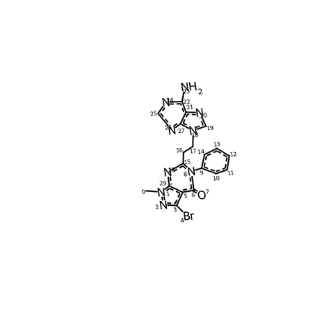 Cn1nc(Br)c2c(=O)n(-c3ccccc3)c(CCn3cnc4c(N)ncnc43)nc21